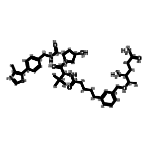 Cc1ncsc1-c1ccc(CNC(=O)[C@@H]2C[C@@H](O)CN2C(=O)[C@@H](NC(=O)CCCCc2cccc(CO[C@H](C)[C@@H](N)CCC(N)=O)c2)C(C)(C)C)cc1